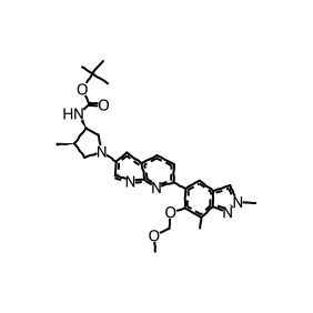 COCOc1c(-c2ccc3cc(N4C[C@@H](C)[C@@H](NC(=O)OC(C)(C)C)C4)cnc3n2)cc2cn(C)nc2c1C